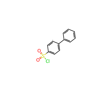 O=S(=O)(Cl)c1c[c]c(-c2ccccc2)cc1